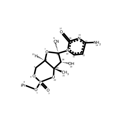 CC(C)OP1(=O)OC[C@H]2O[C@@](C#N)(n3ccc(N)nc3=O)[C@H](O)[C@]2(C)O1